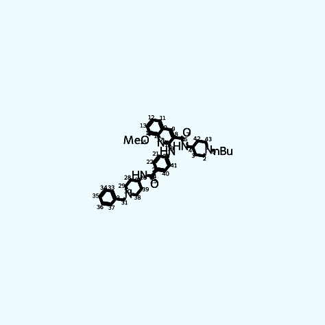 CCCCN1CCC(NC(=O)c2cc3cccc(OC)c3nc2Nc2ccc(C(=O)NC3CCN(Cc4ccccc4)CC3)cc2)CC1